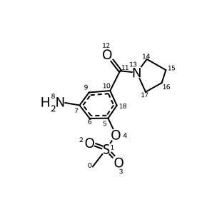 CS(=O)(=O)Oc1cc(N)cc(C(=O)N2CCCC2)c1